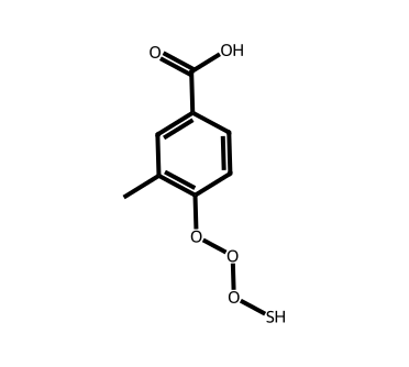 Cc1cc(C(=O)O)ccc1OOOS